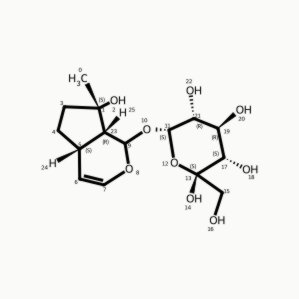 C[C@]1(O)CC[C@H]2C=COC(O[C@H]3O[C@@](O)(CO)[C@@H](O)[C@H](O)[C@H]3O)[C@H]21